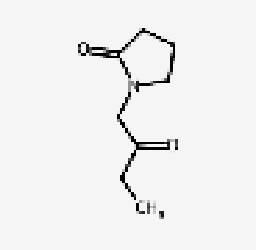 CCC(=O)CN1CCCC1=O